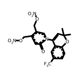 CC1(C)C=C(n2cc(CO[N+](=O)[O-])c(CO[N+](=O)[O-])cc2=O)c2cc(C(F)(F)F)ccc2O1